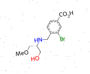 COC[C@@H](CO)NCc1ccc(C(=O)O)cc1Br